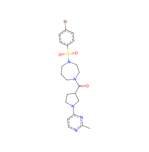 Cc1nccc(N2CCC(C(=O)N3CCCN(S(=O)(=O)c4ccc(Br)cc4)CC3)C2)n1